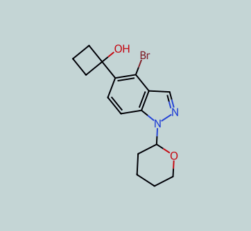 OC1(c2ccc3c(cnn3C3CCCCO3)c2Br)CCC1